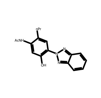 CCCc1cc(-n2nc3ccccc3n2)c(O)cc1NC(C)=O